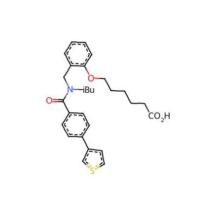 CCC(C)N(Cc1ccccc1OCCCCCC(=O)O)C(=O)c1ccc(-c2ccsc2)cc1